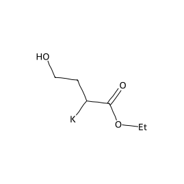 CCOC(=O)[CH]([K])CCO